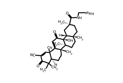 CCCC(C)CNC(=O)[C@@]1(C)CC[C@]2(C)CC[C@@]3(C)[C@]4(C)CC[C@H]5C(C)(C)C(=O)C(C#N)=C[C@]5(C)C4=CC(=O)[C@]3(O)[C@@H]2C1